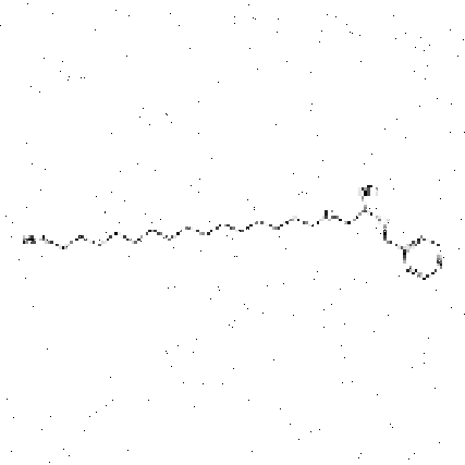 CCCC(COCCCCCCCCCCCCCCCSC)OCc1ccccc1